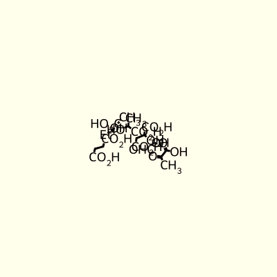 CC(=O)C(=O)O.CC(=O)O.CC(O)C(=O)O.CCO.O=C(O)CC(O)C(=O)O.O=C(O)CCC(=O)O.O=CO